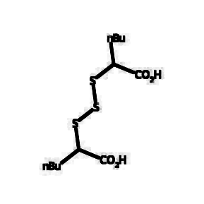 CCCCC(SSSC(CCCC)C(=O)O)C(=O)O